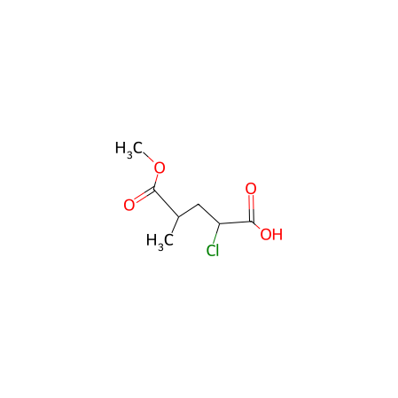 COC(=O)C(C)CC(Cl)C(=O)O